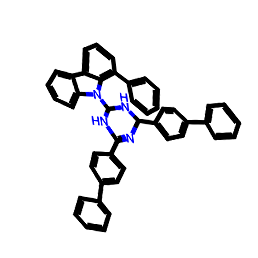 c1ccc(-c2ccc(C3=NC(c4ccc(-c5ccccc5)cc4)NC(n4c5ccccc5c5cccc(-c6ccccc6)c54)N3)cc2)cc1